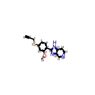 C#CCSc1ccc(-c2nc3cnccc3[nH]2)c(OC)c1